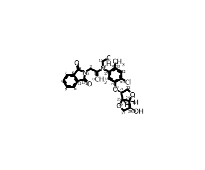 C=C(CN1C(=O)c2ccccc2C1=O)N(CC)c1cc(O[C@H]2CO[C@H]3[C@@H]2OC[C@@H]3O)c(Cl)cc1C